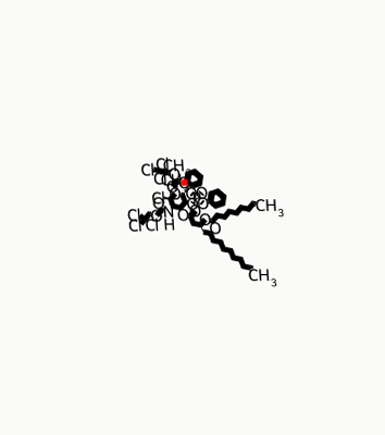 CCCCCCCCCCC[C@H](CC(=O)O[C@@H]1[C@@H](NC(=O)OCC(Cl)(Cl)Cl)[C@@H](Cl)O[C@H](COC(=O)OC(C)(C)C(Cl)(Cl)Cl)[C@H]1OP(=O)(Oc1ccccc1)Oc1ccccc1)OC(=O)CCCCCCCC